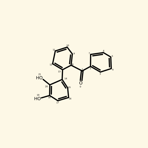 O=C(c1ccccc1)c1ccccc1-c1cccc(O)c1O